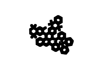 Cc1cc2c(cc1N1c3cc4c(cc3B3c5c(cc6ccccc6c51)-c1cccc5c1N3c1ccccc1[Si]5(c1ccccc1)c1ccccc1)C(C)(C)c1ccccc1C4(C)C)C(C)(C)CCC2(C)C